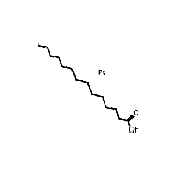 CCCCCCCCCCCCCC(=O)O.[Pt]